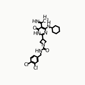 CC(=N)c1c(NC2CCCCC2)nc(C2CN(C(=O)NCc3ccc(Cl)c(Cl)c3)C2)[nH]c1=O